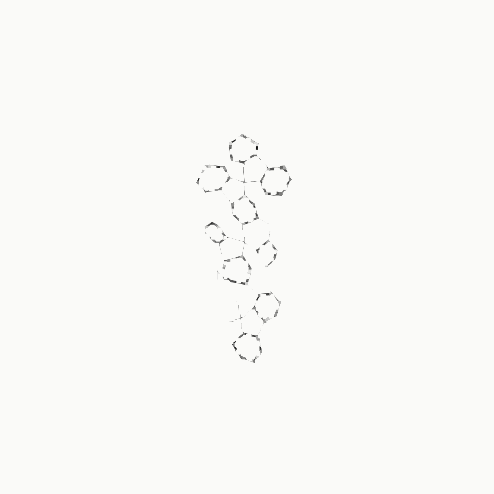 CC1(C)c2ccccc2-c2cccc(-c3cnc4c(c3)C3(c5ccccc5Sc5cc6c(cc53)-c3ccccc3C63c5ccccc5-c5ccccc53)c3cccnc3-4)c21